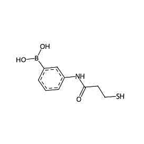 O=C(CCS)Nc1cccc(B(O)O)c1